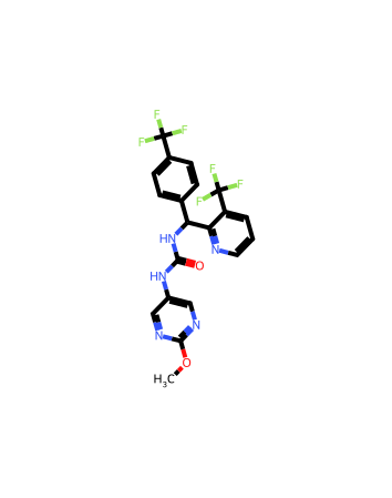 COc1ncc(NC(=O)NC(c2ccc(C(F)(F)F)cc2)c2ncccc2C(F)(F)F)cn1